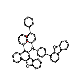 c1ccc(-c2ccc(N(c3ccc(-c4cccc5c4oc4ccccc45)cc3)c3c(-c4ccccc4)c4ccccc4c4oc5ccccc5c34)cc2)cc1